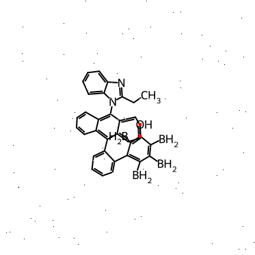 Bc1c(B)c(O)c(B)c(-c2ccccc2-c2c3ccccc3c(-n3c(CC)nc4ccccc43)c3ccccc23)c1B